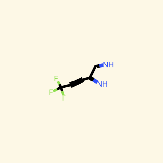 N=CC(=N)C#CC(F)(F)F